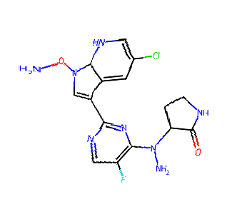 NON1C=C(c2ncc(F)c(N(N)C3CCNC3=O)n2)C2=CC(Cl)=CNC21